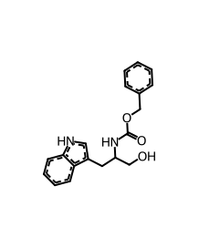 O=C(NC(CO)Cc1c[nH]c2ccccc12)OCc1ccccc1